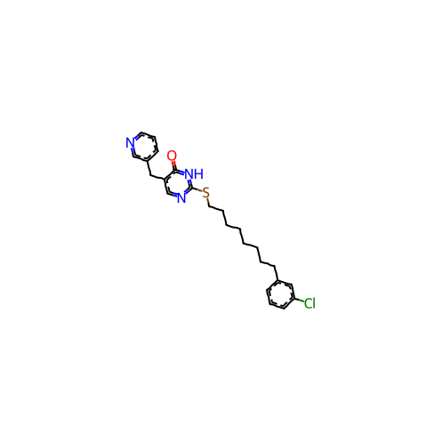 O=c1[nH]c(SCCCCCCCCc2cccc(Cl)c2)ncc1Cc1cccnc1